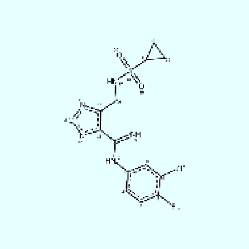 N=C(Nc1ccc(F)c(Cl)c1)c1nonc1CNS(=O)(=O)C1CC1